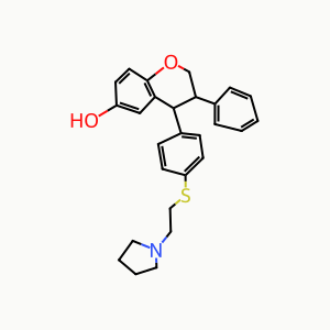 Oc1ccc2c(c1)C(c1ccc(SCCN3CCCC3)cc1)C(c1ccccc1)CO2